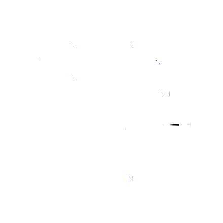 Cc1ncc(-c2cc(NC[C@@H](C)c3ccnc4c3OCCC4)ncn2)cn1